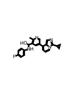 Cc1ncc(-c2cccn3c(C4CC4)ncc23)cc1C(O)Nc1ccc(F)cc1